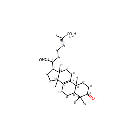 C/C(=C\CCC(C=O)C1CCC2(C)C3=C(CCC12C)C1(C)CCC(=O)C(C)(C)C1CC3)C(=O)O